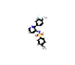 N#Cc1ccc(-c2ncccc2NS(=O)(=O)c2ccc(C(F)(F)F)cc2)cc1F